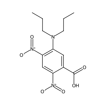 CCCN(CCC)c1cc(C(=O)O)c([N+](=O)[O-])cc1[N+](=O)[O-]